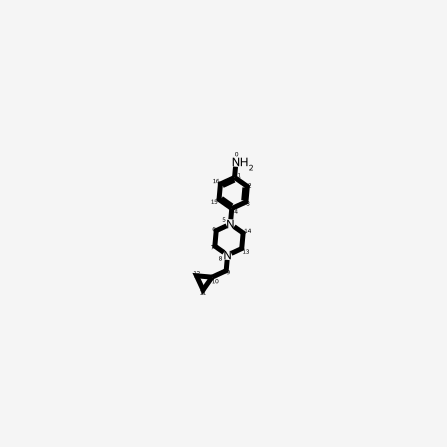 Nc1ccc(N2CCN(CC3CC3)CC2)cc1